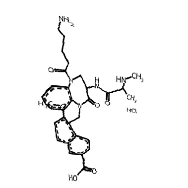 CNC(C)C(=O)NC1CN(C(=O)CCCCN)c2ccccc2N(Cc2c(OC)ccc3cc(C(=O)O)ccc23)C1=O.Cl